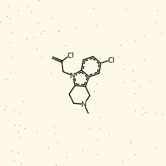 C=C(Cl)Cn1c2c(c3cc(Cl)ccc31)CN(C)CC2